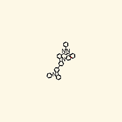 c1ccc(-c2cc(-c3cccc4c5cc(-c6ccc7c(c6)c6ccccc6n7-c6ccccc6)ccc5n(-c5ccccc5)c34)nc(-c3ccccc3)n2)cc1